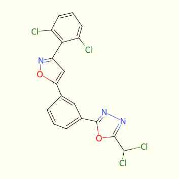 Clc1cccc(Cl)c1-c1cc(-c2cccc(-c3nnc(C(Cl)Cl)o3)c2)on1